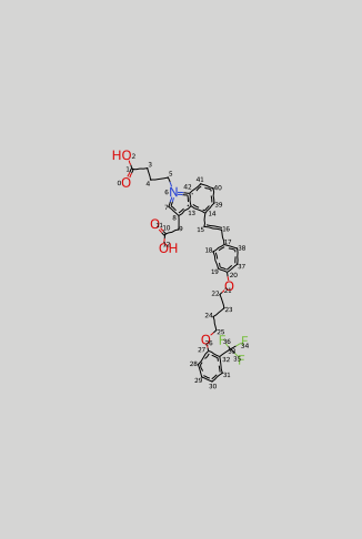 O=C(O)CCCn1cc(CC(=O)O)c2c(C=Cc3ccc(OCCCCOc4ccccc4C(F)(F)F)cc3)cccc21